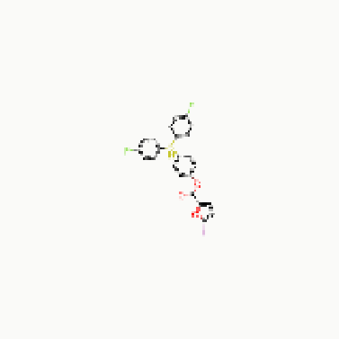 O=C(Oc1ccc([SH](c2ccc(F)cc2)c2ccc(F)cc2)cc1)c1ccc(I)o1